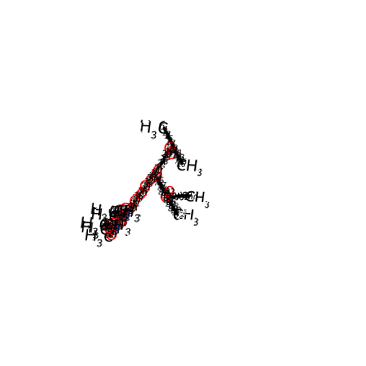 CCCCCCCCC(CCCCCCCC)OC(=O)CCCCCCCOCC(COCCOCCOCCOCCOC(=O)CN(CCOC(=O)CN(CCOC)C(=O)OC(C)(C)C)C(=O)OC(C)(C)C)OCCCCCCCC(=O)OC(CCCCCCCC)CCCCCCCC